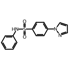 O=S(=O)(Nc1ccccc1)c1ccc(-n2cccn2)cc1